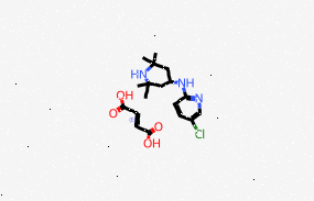 CC1(C)CC(Nc2ccc(Cl)cn2)CC(C)(C)N1.O=C(O)/C=C/C(=O)O